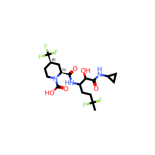 CC(F)(F)CCC(NC(=O)[C@@H]1C[C@H](C(F)(F)F)CCN1C(=O)O)C(O)C(=O)NC1CC1